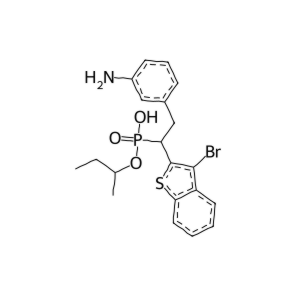 CCC(C)OP(=O)(O)C(Cc1cccc(N)c1)c1sc2ccccc2c1Br